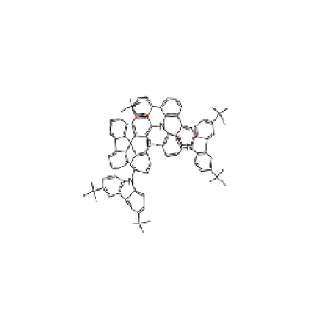 CC(C)(C)c1cc2c3c(c1)C1(c4cc(-n5c6ccc(C(C)(C)C)cc6c6cc(C(C)(C)C)ccc65)ccc4B3c3ccc(-n4c5ccc(C(C)(C)C)cc5c5cc(C(C)(C)C)ccc54)cc3N2c2c(-c3ccccc3)cccc2-c2ccccc2)c2ccccc2-c2ccccc21